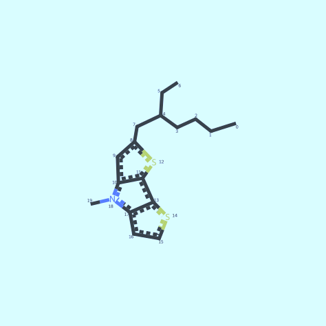 CCCCC(CC)Cc1cc2c(s1)c1sccc1n2C